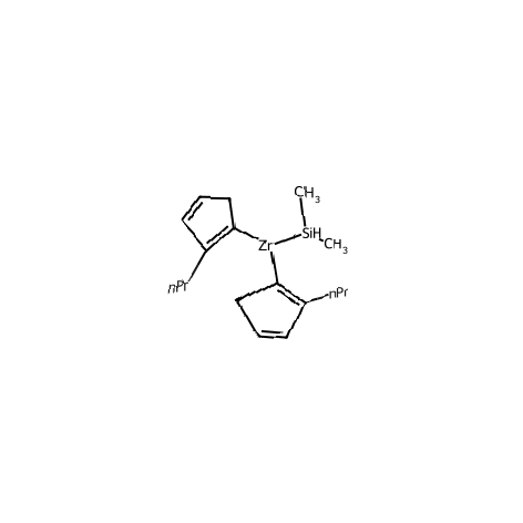 CCCC1=[C]([Zr]([C]2=C(CCC)C=CC2)[SiH](C)C)CC=C1